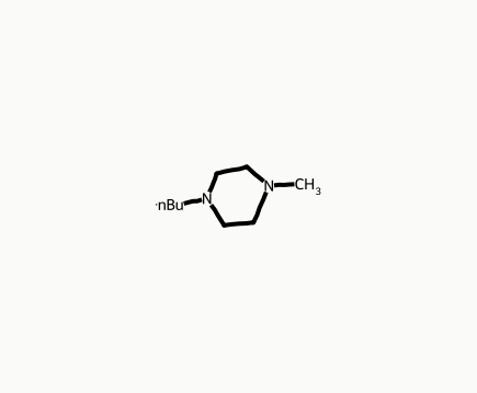 CCC[CH]N1CCN(C)CC1